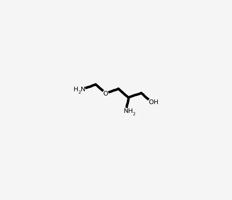 NCOCC(N)CO